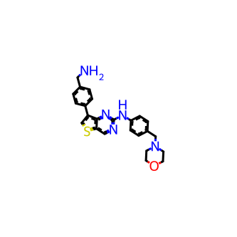 NCc1ccc(-c2csc3cnc(Nc4ccc(CN5CCOCC5)cc4)nc23)cc1